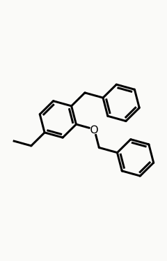 CCc1ccc(Cc2ccccc2)c(OCc2ccccc2)c1